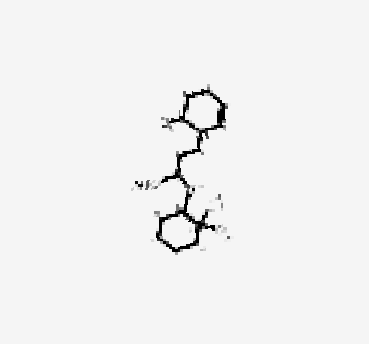 COC(CCC1C=CCCC1Cl)OC1CCCCC1(O)O